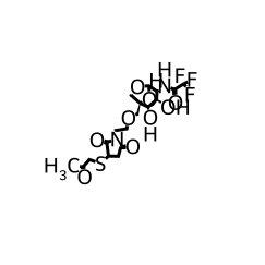 CC(=O)CSC1CC(=O)N(CCOC[C@@]23CO[C@@H](O2)[C@@H](NC(=O)C(F)(F)F)[C@@H](O)[C@H]3O)C1=O